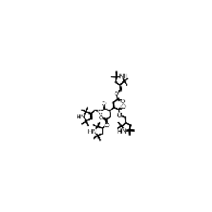 CC1(C)CC(COC(=O)CC(C(=O)OCC2CC(C)(C)NC2(C)C)C(CC(=O)OC2CC(C)(C)NC2(C)C)C(=O)OCC2CC(C)(C)NC2(C)C)C(C)(C)N1